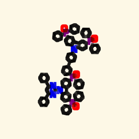 O=P(c1ccccc1)(c1ccccc1)c1ccc2c(c1)c1cc(P(=O)(c3ccccc3)c3ccccc3)ccc1n2-c1ccc(-c2cccc(P(=O)(c3ccccc3)c3ccc4c(c3)c3cc(P(=O)(c5ccccc5)c5ccccc5)ccc3n4-c3nc(-c4ccccc4)cc(-c4ccccc4)n3)c2)cc1